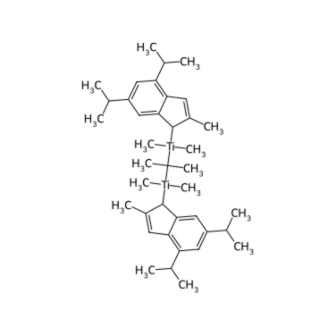 CC1=Cc2c(C(C)C)cc(C(C)C)cc2[CH]1[Ti]([CH3])([CH3])[C](C)(C)[Ti]([CH3])([CH3])[CH]1C(C)=Cc2c(C(C)C)cc(C(C)C)cc21